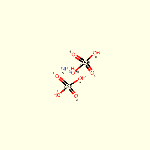 N.O=[Se](=O)(O)O.O=[Se](=O)(O)O